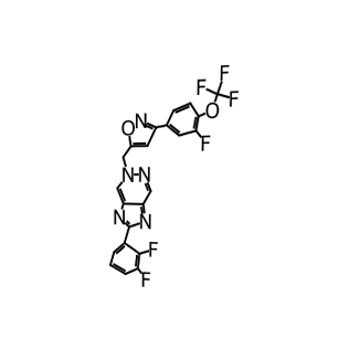 Fc1cc(-c2cc(Cn3cc4nc(-c5cccc(F)c5F)nc-4cn3)on2)ccc1OC(F)(F)F